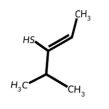 C/C=C(\S)C(C)C